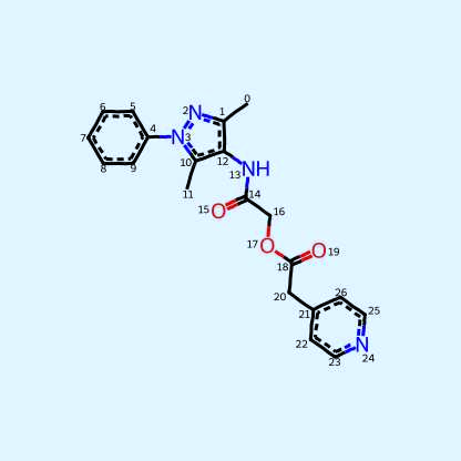 Cc1nn(-c2ccccc2)c(C)c1NC(=O)COC(=O)Cc1ccncc1